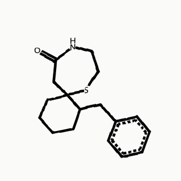 O=C1CC2(CCCCC2Cc2ccccc2)SCCN1